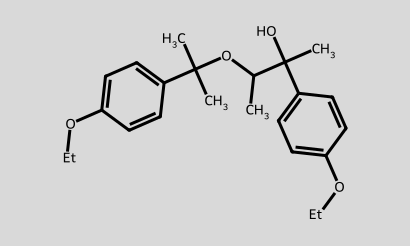 CCOc1ccc(C(C)(C)OC(C)C(C)(O)c2ccc(OCC)cc2)cc1